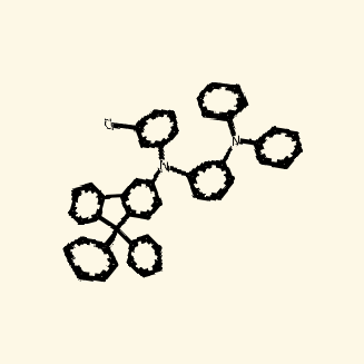 Clc1cccc(N(c2cccc(N(c3ccccc3)c3ccccc3)c2)c2ccc3c(c2)-c2ccccc2C3(c2ccccc2)c2ccccc2)c1